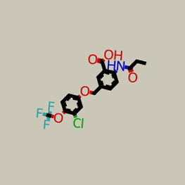 CCC(=O)Nc1ccc(COc2ccc(OC(F)(F)F)c(Cl)c2)cc1C(=O)O